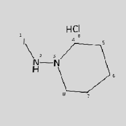 Cl.INN1CCCCC1